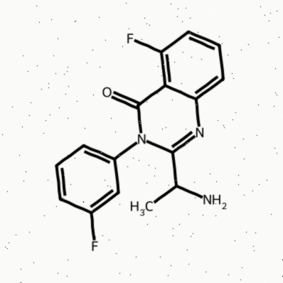 CC(N)c1nc2cccc(F)c2c(=O)n1-c1cccc(F)c1